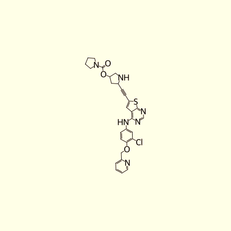 O=C(OC1CNC(C#Cc2cc3c(Nc4ccc(OCc5ccccn5)c(Cl)c4)ncnc3s2)C1)N1CCCC1